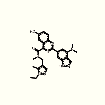 CCn1ncc(CN(C)C(=O)c2nc(-c3cc(N(C)C)c4cn[nH]c4c3)nc3ccc(O)cc23)c1C